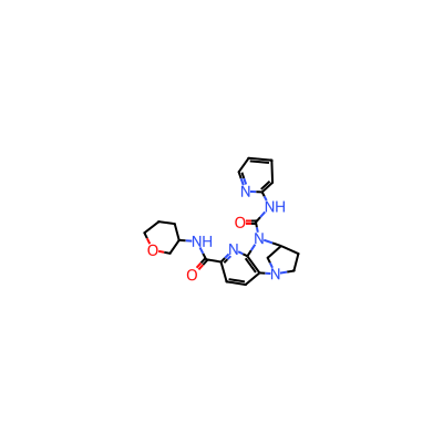 O=C(NC1CCCOC1)c1ccc2c(n1)N(C(=O)Nc1ccccn1)C1CCN2C1